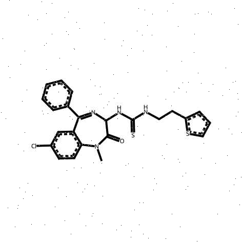 CN1C(=O)C(NC(=S)NCCc2cccs2)N=C(c2ccccc2)c2cc(Cl)ccc21